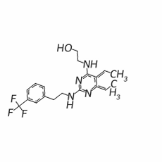 C/C=c1/nc(NCCc2cccc(C(F)(F)F)c2)nc(NCCO)/c1=C/C